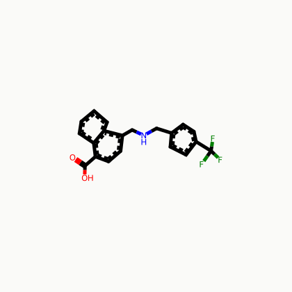 O=C(O)c1ccc(CNCc2ccc(C(F)(F)F)cc2)c2ccccc12